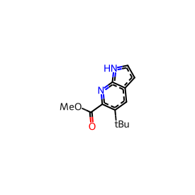 COC(=O)c1nc2[nH]ccc2cc1C(C)(C)C